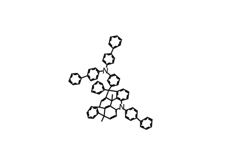 CC1C=C2C3(C)C4=C1C(C)(c1ccccc1)C=CC4(C)N(c1ccc(-c4ccccc4)cc1)c1cccc(c13)C2(c1ccccc1)c1cccc(N(c2ccc(-c3ccccc3)cc2)c2ccc(-c3ccccc3)cc2)c1